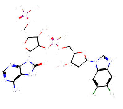 Nc1ncnc2c1[nH]c(=O)n2[C@@H]1O[C@H](COP(=O)(O)S)[C@@H](O)C1OP(=O)(S)OC[C@H]1O[C@@H](n2cnc3cc(Cl)c(Cl)cc32)C[C@H]1O